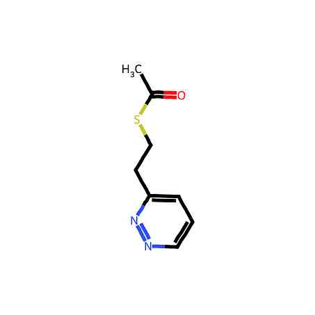 CC(=O)SCCc1cccnn1